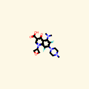 CN1CCN(c2c(F)c(N(C)C)c3c(=O)c(C(=O)O)cn(C4COC4)c3c2F)CC1